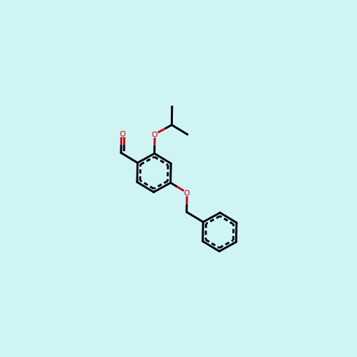 CC(C)Oc1cc(OCc2ccccc2)ccc1C=O